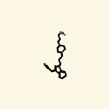 CCCCC1CCN(CCCn2cc(CC#N)c3ccccc32)CC1